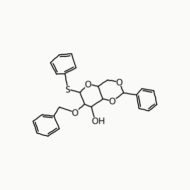 OC1C2OC(c3ccccc3)OCC2OC(Sc2ccccc2)C1OCc1ccccc1